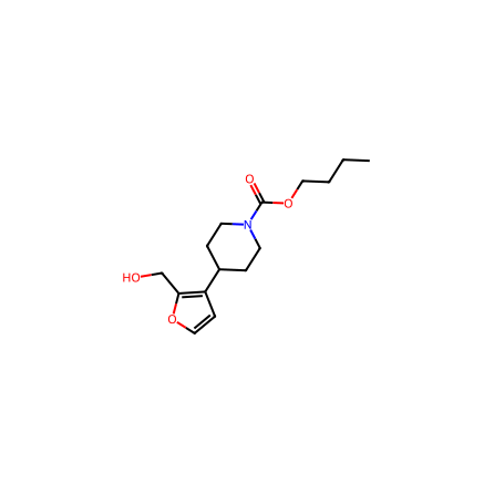 CCCCOC(=O)N1CCC(c2ccoc2CO)CC1